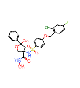 O=C(NO)C1(NS(=O)(=O)c2ccc(OCc3ccc(F)cc3Cl)cc2)COC(O)(c2ccccc2)C1